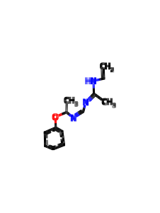 C=CN/C(C)=N/C=N\C(C)Oc1ccccc1